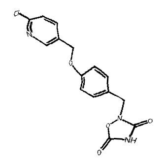 O=c1[nH]c(=O)n(Cc2ccc(OCc3ccc(Cl)nc3)cc2)o1